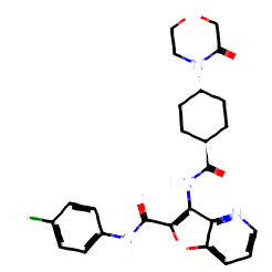 O=C(Nc1ccc(Cl)cc1)c1oc2cccnc2c1NC(=O)[C@H]1CC[C@H](N2CCOCC2=O)CC1